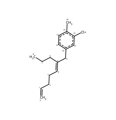 C=CCC/C=C(\CCC)Cc1ccc(C)c(Cl)c1